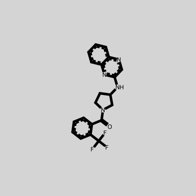 O=C(c1ccccc1C(F)(F)F)N1CCC(Nc2cnc3ccccc3n2)C1